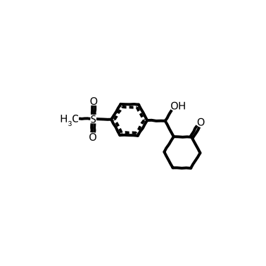 CS(=O)(=O)c1ccc(C(O)C2CCCCC2=O)cc1